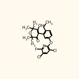 CCc1ccc(Oc2nc(F)c(Cl)cc2Cl)cc1C1=C(O)C(C)(C)OC(C)(C)C1=O